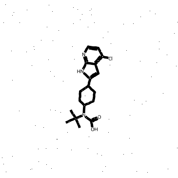 CC(C)(C)N(C(=O)O)C1CCC(c2cc3c(Cl)ccnc3[nH]2)CC1